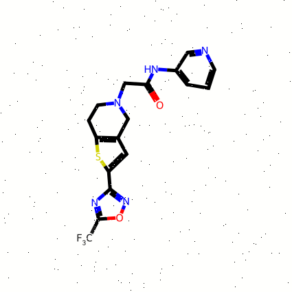 O=C(CN1CCc2sc(-c3noc(C(F)(F)F)n3)cc2C1)Nc1cccnc1